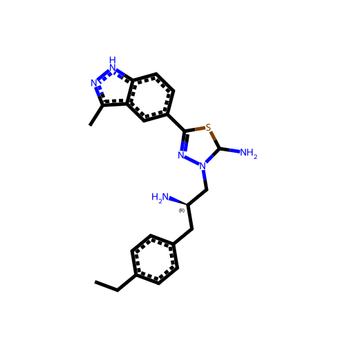 CCc1ccc(C[C@@H](N)CN2N=C(c3ccc4[nH]nc(C)c4c3)SC2N)cc1